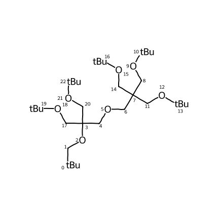 CC(C)(C)COC(COCC(COC(C)(C)C)(COC(C)(C)C)COC(C)(C)C)(COC(C)(C)C)COC(C)(C)C